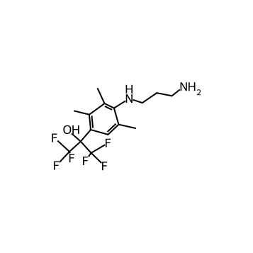 Cc1cc(C(O)(C(F)(F)F)C(F)(F)F)c(C)c(C)c1NCCCN